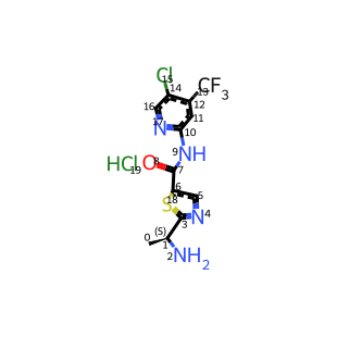 C[C@H](N)c1ncc(C(=O)Nc2cc(C(F)(F)F)c(Cl)cn2)s1.Cl